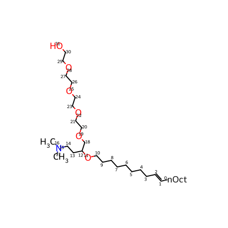 CCCCCCCCC=CCCCCCCCCOC(CCN(C)C)COCCOCCOCCOCCO